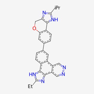 CCc1nc2c3cnncc3c3cc(-c4ccc5c(c4)OCc4nc(C(C)C)[nH]c4-5)ccc3c2[nH]1